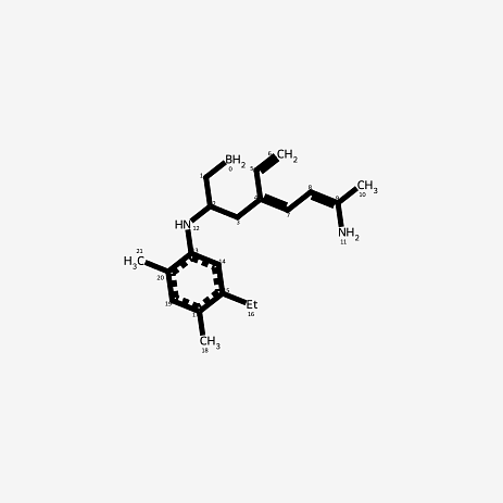 BCC(C/C(C=C)=C/C=C(/C)N)Nc1cc(CC)c(C)cc1C